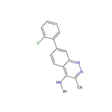 CC(C)Nc1c(C#N)nnc2cc(-c3ccccc3F)ccc12